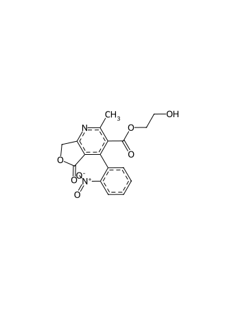 Cc1nc2c(c(-c3ccccc3[N+](=O)[O-])c1C(=O)OCCO)C(=O)OC2